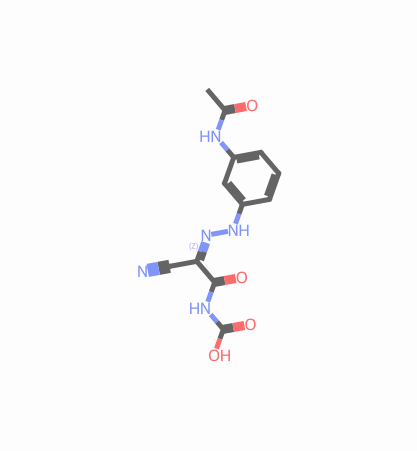 CC(=O)Nc1cccc(N/N=C(/C#N)C(=O)NC(=O)O)c1